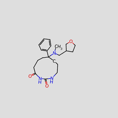 CN(CC1CCOC1)C1(c2ccccc2)CCCNC(=O)NC(=O)CCC1